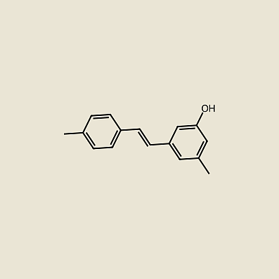 Cc1ccc(/C=C/c2cc(C)cc(O)c2)cc1